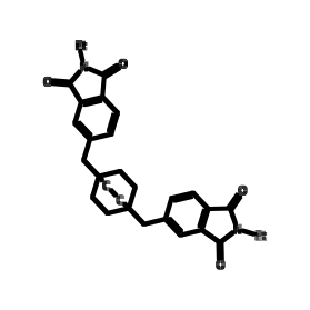 CCN1C(=O)c2ccc(CC34CCC(Cc5ccc6c(c5)C(=O)N(CC)C6=O)(CC3)CC4)cc2C1=O